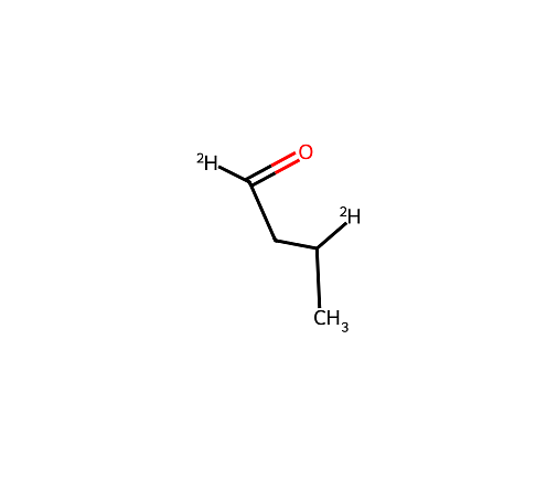 [2H]C(=O)CC([2H])C